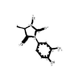 CCN1[C](C)C(=O)N(c2ccc(C#N)c(C(F)(F)F)c2)C1=O